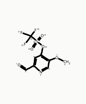 COc1cnc(C=O)cc1OS(=O)(=O)C(F)(F)F